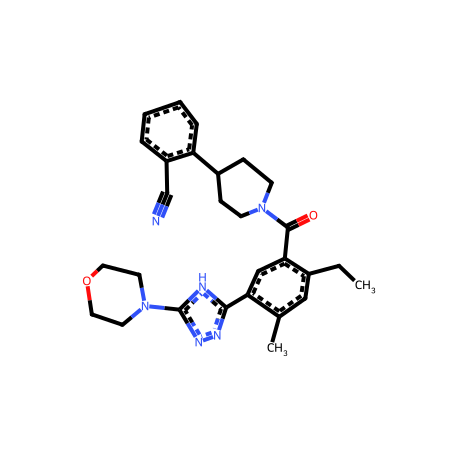 CCc1cc(C)c(-c2nnc(N3CCOCC3)[nH]2)cc1C(=O)N1CCC(c2ccccc2C#N)CC1